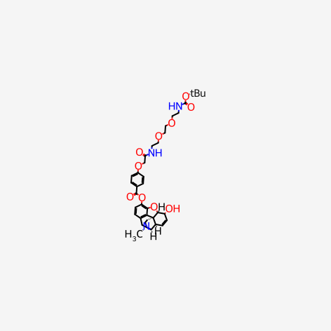 CN1CC[C@]23c4c5ccc(OC(=O)c6ccc(OCC(=O)NCCOCCOCCNC(=O)OC(C)(C)C)cc6)c4O[C@H]2[C@@H](O)C=C[C@H]3[C@H]1C5